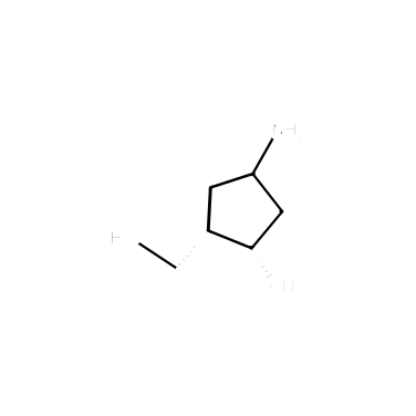 NC1C[C@@H](CO)[C@@H](O)C1